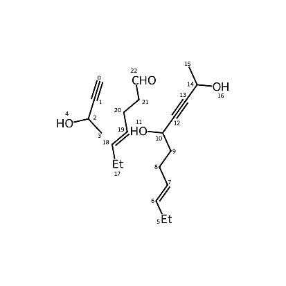 C#CC(C)O.CC/C=C/CCC(O)C#CC(C)O.CC/C=C/CCC=O